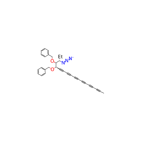 CC#CC#CC#CC#CC#CC#C[C@@H](OCc1ccccc1)[C@@H](OCc1ccccc1)[C@H](CC)N=[N+]=[N-]